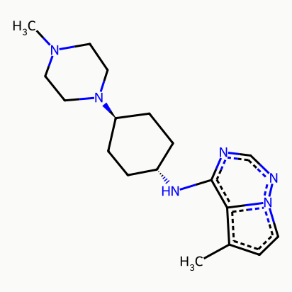 Cc1ccn2ncnc(N[C@H]3CC[C@H](N4CCN(C)CC4)CC3)c12